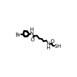 O=C(CS)NCCCCCC(=O)Nc1ccc(Br)cc1